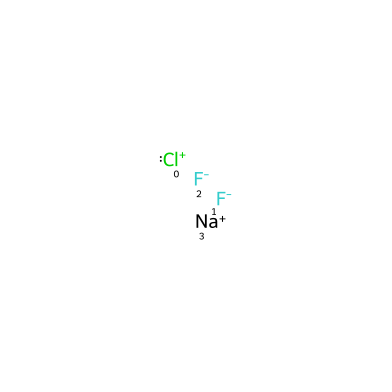 [Cl+].[F-].[F-].[Na+]